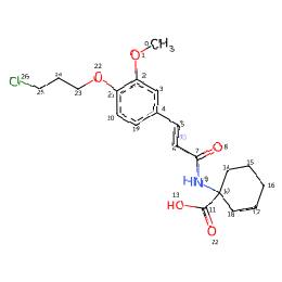 COc1cc(/C=C/C(=O)NC2(C(=O)O)CCCCC2)ccc1OCCCCl